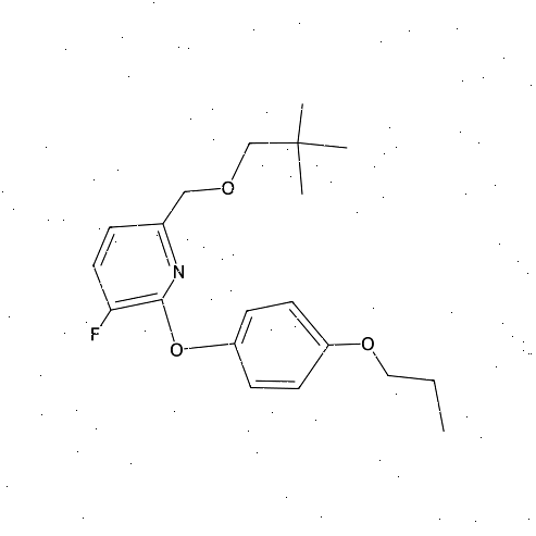 CCCOc1ccc(Oc2nc(COCC(C)(C)C)ccc2F)cc1